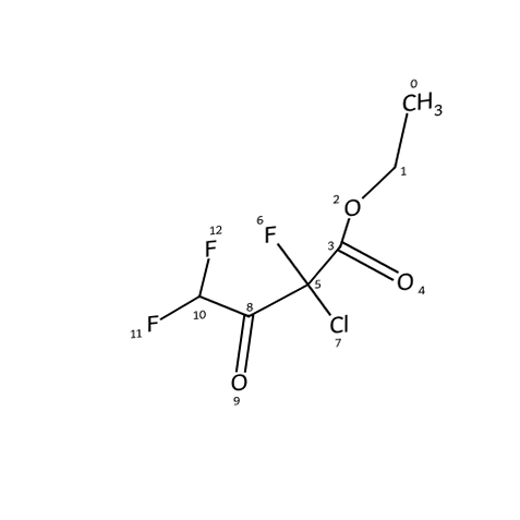 CCOC(=O)C(F)(Cl)C(=O)C(F)F